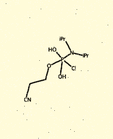 CC(C)N(C(C)C)P(O)(O)(Cl)OCCC#N